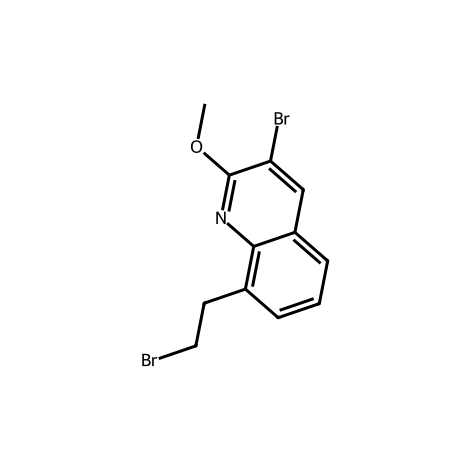 COc1nc2c(CCBr)cccc2cc1Br